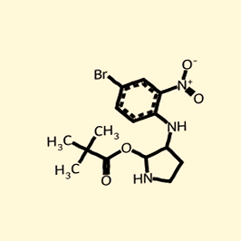 CC(C)(C)C(=O)OC1NCCC1Nc1ccc(Br)cc1[N+](=O)[O-]